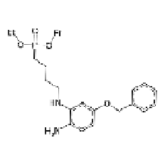 CCOP(=O)(CCCCNc1cc(OCc2ccccc2)ccc1N)OCC